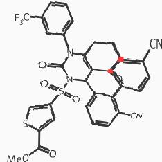 COC(=O)c1cc(S(=O)(=O)N2C(=O)N(c3cccc(C(F)(F)F)c3)C3=C(C(=O)CCC3)C2c2cccc(C#N)c2-c2ccc(C#N)cc2)cs1